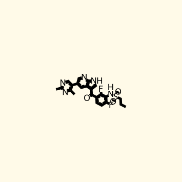 CCCS(=O)(=O)Nc1c(F)ccc(C(=O)c2c[nH]c3ncc(-c4cnc(C)nc4C)cc23)c1F